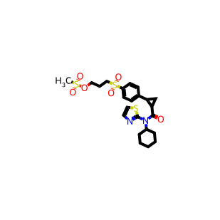 CS(=O)(=O)OCCCS(=O)(=O)c1ccc(C2CC2C(=O)N(c2nccs2)C2CCCCC2)cc1